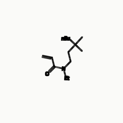 C=CC(=O)N(CC)CCC(C)(C)CCCC